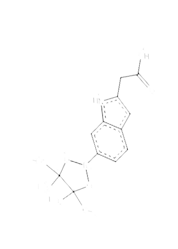 CC1(C)OB(c2ccc3cc(CC(=O)O)[nH]c3c2)OC1(C)C